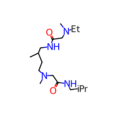 CCN(C)CC(=O)NCC(C)CCN(C)CC(=O)NCC(C)C